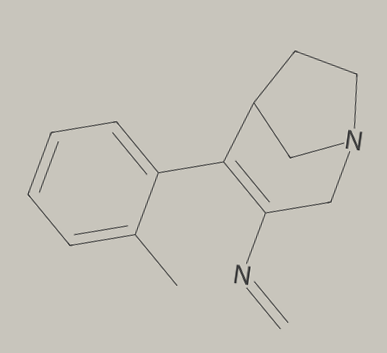 C=NC1=C(c2ccccc2C)C2CCN(C1)C2